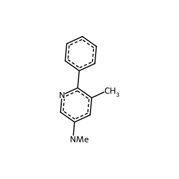 CNc1cnc(-c2ccccc2)c(C)c1